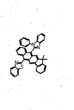 CC1(C)C2=C(CCC=C2)c2cc3c(-c4nc5ccccc5s4)c4ccccc4c(-c4nc5ccccc5n4-c4ccccc4)c3cc21